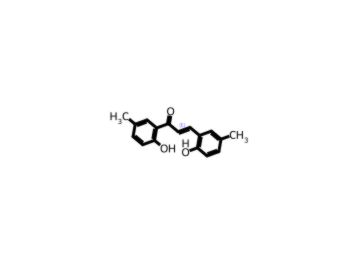 Cc1ccc(O)c(/C=C/C(=O)c2cc(C)ccc2O)c1